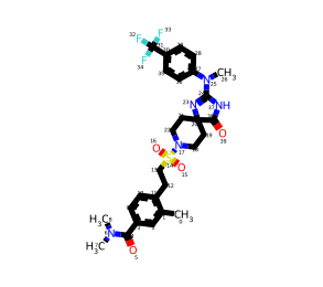 Cc1cc(C(=O)N(C)C)ccc1CCS(=O)(=O)N1CCC2(CC1)N=C(N(C)c1ccc(C(F)(F)F)cc1)NC2=O